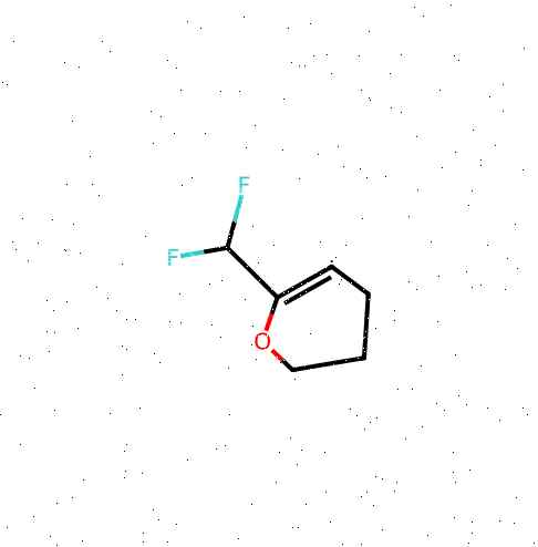 FC(F)C1=[C]CCCO1